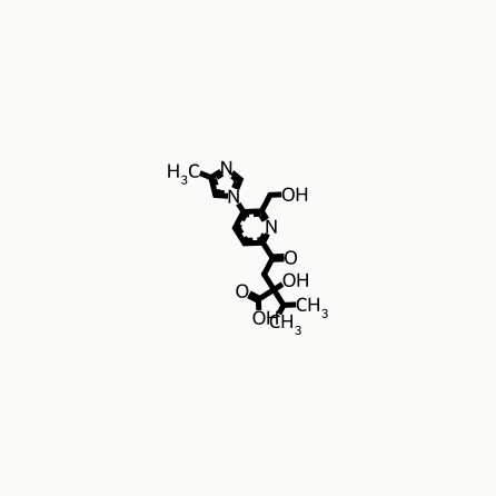 Cc1cn(-c2ccc(C(=O)CC(O)(C(=O)O)C(C)C)nc2CO)cn1